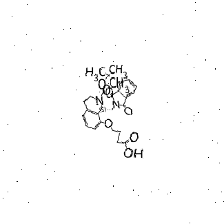 CC(C)(C)OC(=O)N1CCc2cccc(OCCCC(=O)O)c2[C@H]1CN1C(=O)c2ccccc2C1=O